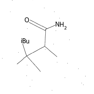 CCC(C)C(C)(C)C(C)C(N)=O